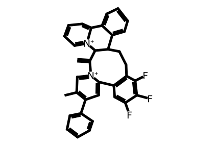 C=C1C2C(CCc3c(cc(F)c(F)c3F)-c3cc(-c4ccccc4)c(C)c[n+]31)c1ccccc1-c1cccc[n+]12